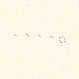 CC(C)=CCC/C(C)=C/CC/C(C)=C/CC/C(C)=C/Cc1c(C)c(C)c(C)c(C)c1O